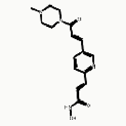 CN1CCN(C(=O)/C=C/c2ccc(C=CC(=O)NO)nc2)CC1